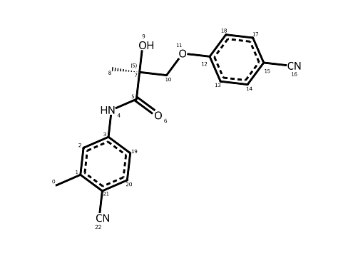 Cc1cc(NC(=O)[C@@](C)(O)COc2ccc(C#N)cc2)ccc1C#N